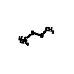 C.CSSC